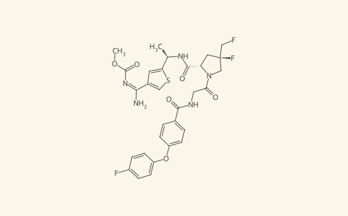 COC(=O)/N=C(/N)c1csc([C@@H](C)NC(=O)[C@@H]2C[C@](F)(CF)CN2C(=O)CNC(=O)c2ccc(Oc3ccc(F)cc3)cc2)c1